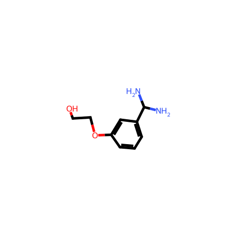 NC(N)c1cccc(OCCO)c1